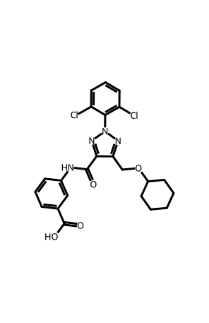 O=C(O)c1cccc(NC(=O)c2nn(-c3c(Cl)cccc3Cl)nc2COC2CCCCC2)c1